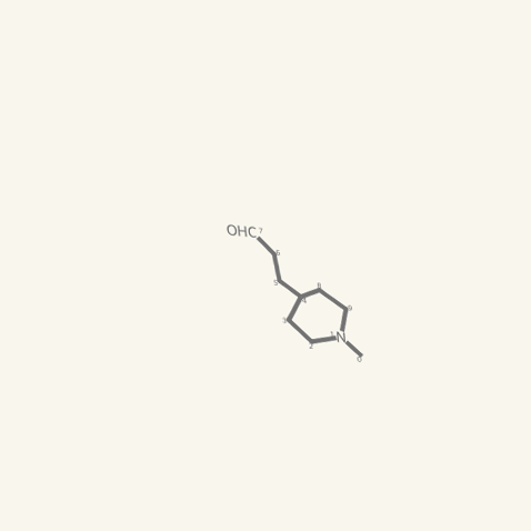 CN1CCC(CCC=O)CC1